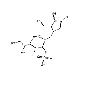 O=S(=O)(O)OC([C@H](O)C(O)C(O)CO)[C@H](O)CC1C[C@@H](O)[C@H](O)[C@H]1CO